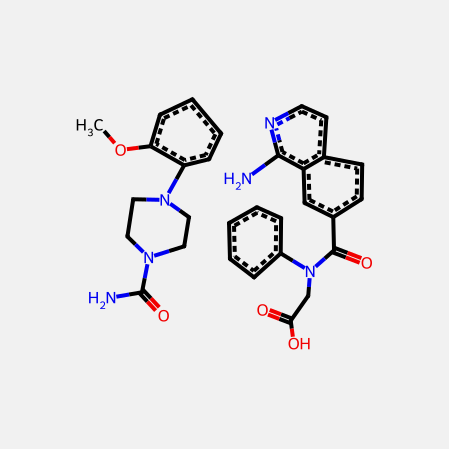 COc1ccccc1N1CCN(C(N)=O)CC1.Nc1nccc2ccc(C(=O)N(CC(=O)O)c3ccccc3)cc12